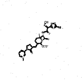 C[n+]1cccc(N2CCC(=CC3=C(C(=O)[O-])N4C(=O)[C@@H](NC(=O)C(=NO)c5nsc(N)n5)[C@H]4CC3)C2=O)c1